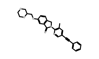 Cc1cc(C#Cc2ccccc2)cnc1N1Cc2ccc(OCC3COCCO3)cc2C1=O